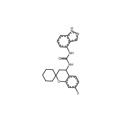 O=C(Nc1cccc2[nH]ncc12)NC1CC2(CCCCC2)Oc2cc(F)ccc21